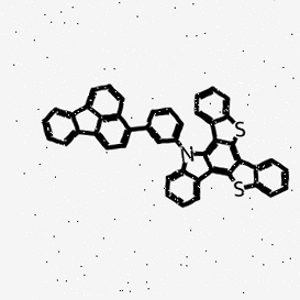 c1cc(-c2ccc3c4c(cccc24)-c2ccccc2-3)cc(-n2c3ccccc3c3c4sc5ccccc5c4c4sc5ccccc5c4c32)c1